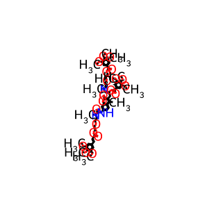 COc1cc(/C=C/C(=O)OCCOCCN(C)C(=O)Nc2ccc3c(C)c(CC(CN(C)CCOCCOC(=O)c4cc(OC)c(OC)c(OC)c4)OC(=O)c4cc(OC)c(OC)c(OC)c4)c(=O)oc3c2)cc(OC)c1OC